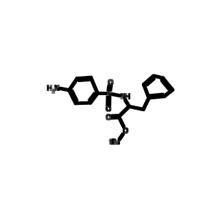 CC(C)(C)OC(=O)C(Cc1ccccc1)NS(=O)(=O)c1ccc(N)cc1